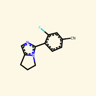 N#Cc1ccc(-c2ncc3n2CCC3)c(F)c1